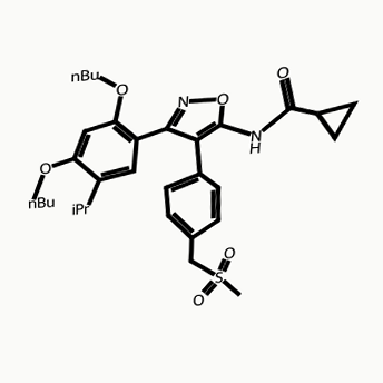 CCCCOc1cc(OCCCC)c(C(C)C)cc1-c1noc(NC(=O)C2CC2)c1-c1ccc(CS(C)(=O)=O)cc1